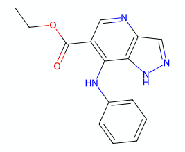 CCOC(=O)c1cnc2cn[nH]c2c1Nc1ccccc1